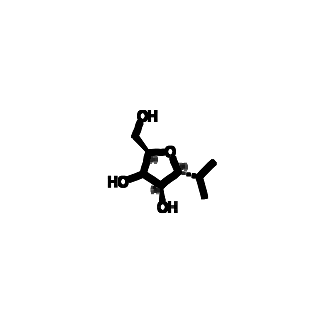 CC(C)[C@H]1O[C@H](CO)C(O)[C@@H]1O